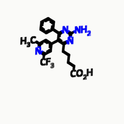 Cc1cc(-c2c(CCCCC(=O)O)nc(N)nc2-c2ccccc2)cc(C(F)(F)F)n1